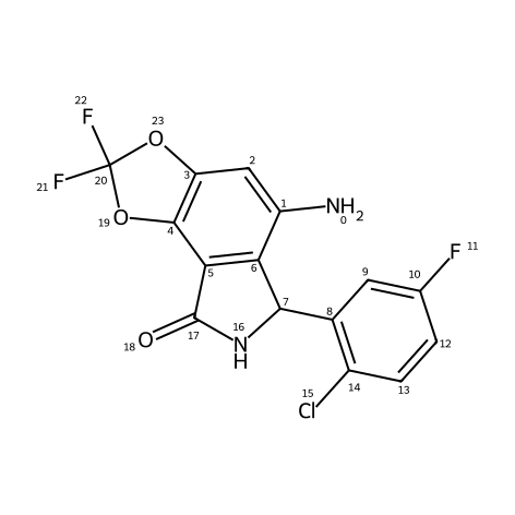 Nc1cc2c(c3c1C(c1cc(F)ccc1Cl)NC3=O)OC(F)(F)O2